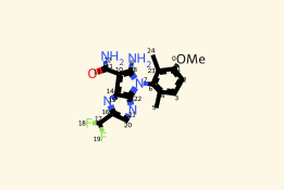 COc1ccc(C)c(-n2c(N)c(C(N)=O)c3nc(C(F)F)cnc32)c1C